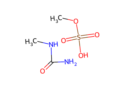 CNC(N)=O.COS(=O)(=O)O